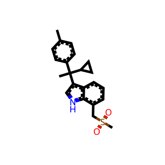 Cc1ccc(C(C)(c2c[nH]c3c(CS(C)(=O)=O)cccc23)C2CC2)cc1